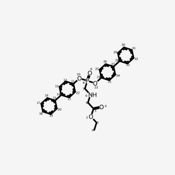 CCOC(=O)CNCP(=O)(Oc1ccc(-c2ccccc2)cc1)Oc1ccc(-c2ccccc2)cc1